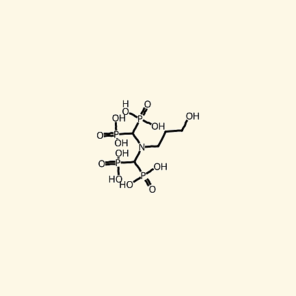 O=P(O)(O)C(N(CCCO)C(P(=O)(O)O)P(=O)(O)O)P(=O)(O)O